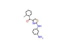 Cc1ccccc1C(=O)c1csc(Nc2cccc(N)c2)n1